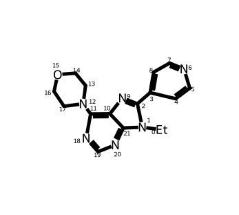 CCn1c(-c2ccncc2)nc2c(N3CCOCC3)ncnc21